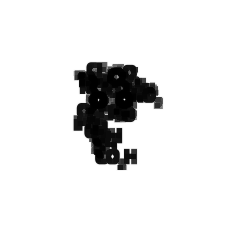 CC(C)OC(=O)c1cc(-c2nn(C)c(C(F)(F)F)c2Br)c(F)cc1Cl.CS(=O)(=O)c1ccc(C(=O)C2C(=O)CCCC2=O)c([N+](=O)[O-])c1.C[S+](C)C.O=C(O)CNCP(=O)([O-])O